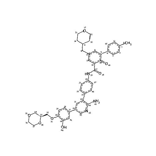 Cc1ccc(-c2cn(CC3CCOCC3)cc(C(=O)Nc3ccc(-c4cc(-c5ccc(OC[C@@H]6COCCO6)c(O)c5)cnc4N)cc3)c2=O)cc1